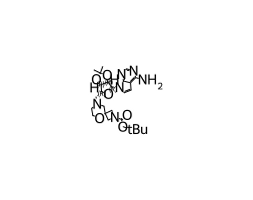 CC(C)(C)OC(=O)N1CC2(CN(C[C@H]3O[C@@H](n4ccc5c(N)ncnc54)[C@@H]4OC(C)(C)O[C@@H]43)CCO2)C1